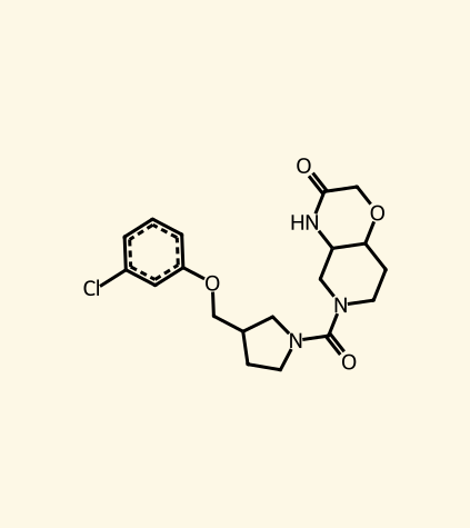 O=C1COC2CCN(C(=O)N3CCC(COc4cccc(Cl)c4)C3)CC2N1